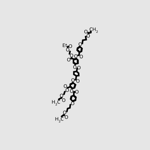 C=CC(=O)OCCCCOc1ccc(C(=O)Oc2ccc(OC(=O)C3CCC(C(=O)Oc4ccc(OC(=O)c5ccc(OCCCCOC(=O)C=C)cc5)c(C(=O)OCCOC(=O)CC)c4)CC3)cc2C(=O)OCCOC(=O)C=C)cc1